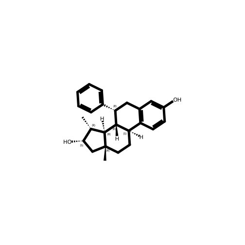 C[C@@H]1[C@H]2[C@H]3[C@H](CC[C@]2(C)C[C@@H]1O)c1ccc(O)cc1C[C@H]3c1ccccc1